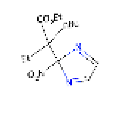 CCCCC(CC)(C(=O)OCC)C1([N+](=O)[O-])N=CC=N1